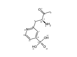 CC(=O)[C@@H](N)Cc1cc(P(=O)(O)O)ccn1